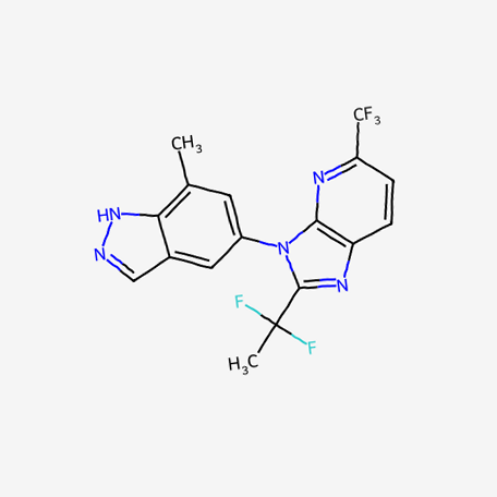 Cc1cc(-n2c(C(C)(F)F)nc3ccc(C(F)(F)F)nc32)cc2cn[nH]c12